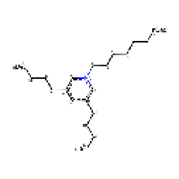 CCCCCCCCCCCCCCCC[n+]1cc(CCCCCCCCCCCCC)cc(CCCCCCCCCCCCC)c1